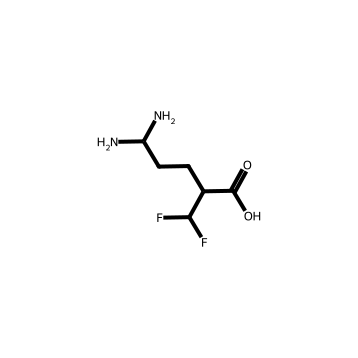 NC(N)CCC(C(=O)O)C(F)F